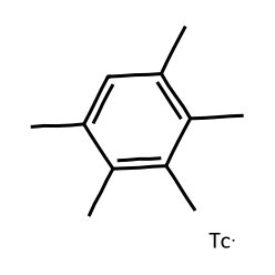 Cc1cc(C)c(C)c(C)c1C.[Tc]